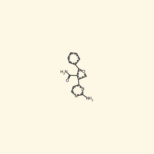 NC(=O)c1c(-c2ccnc(N)n2)coc1-c1ccccc1